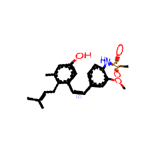 COc1cc(/C=C\c2cc(O)cc(C)c2CC=C(C)C)ccc1NS(C)(=O)=O